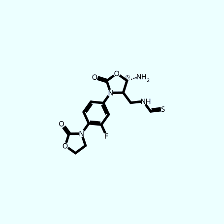 N[C@H]1OC(=O)N(c2ccc(N3CCOC3=O)c(F)c2)C1CNC=S